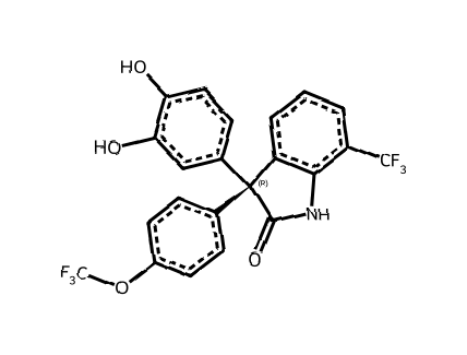 O=C1Nc2c(C(F)(F)F)cccc2[C@@]1(c1ccc(OC(F)(F)F)cc1)c1ccc(O)c(O)c1